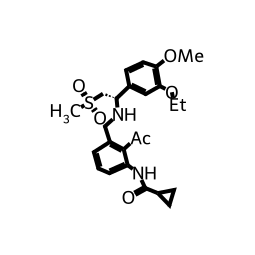 CCOc1cc([C@@H](CS(C)(=O)=O)NCc2cccc(NC(=O)C3CC3)c2C(C)=O)ccc1OC